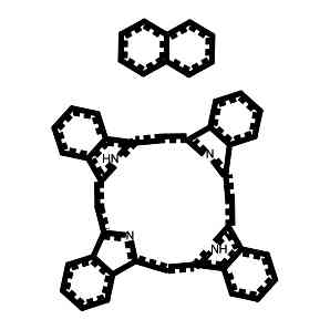 c1ccc2c(c1)-c1cc3[nH]c(cc4nc(cc5[nH]c(cc-2n1)c1ccccc51)-c1ccccc1-4)c1ccccc31.c1ccc2ccccc2c1